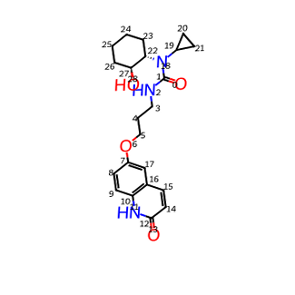 O=C(NCCCOc1ccc2[nH]c(=O)ccc2c1)N(C1CC1)[C@H]1CCCC[C@@H]1O